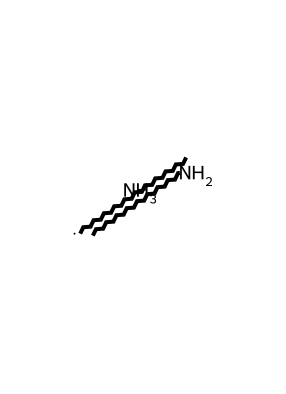 CCCCCCCCCCCCCCCCCCN.N.[CH2]CCCCCCCCCCCCCCCCCCCCC